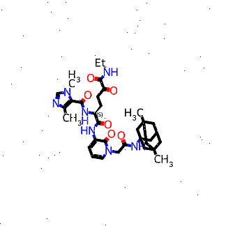 CCNC(=O)C(=O)CC[C@H](NC(=O)c1c(C)ncn1C)C(=O)Nc1cccn(CC(=O)NC23CC4CC(C)(CC(C)(C4)C2)C3)c1=O